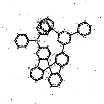 c1ccc(-c2nc(-c3ccccc3)nc(-c3ccc4c(c3)C3(c5ccccc5-c5cc(N(c6ccccc6)c6ccccc6)ccc53)c3ccccc3-4)n2)cc1